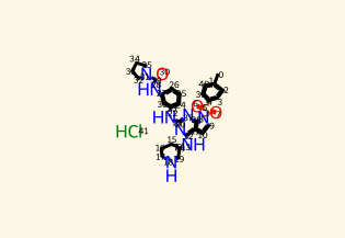 Cc1ccc(S(=O)(=O)n2ccc3c(N[C@@H]4CCCNC4)nc(Nc4cccc(NC(=O)N5CCCC5)c4)nc32)cc1.Cl